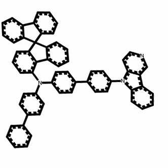 c1ccc(-c2ccc(N(c3ccc(-c4ccc(-n5c6ccccc6c6cnccc65)cc4)cc3)c3cccc4c3-c3ccccc3C43c4ccccc4-c4ccccc43)cc2)cc1